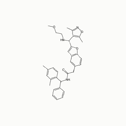 COCCNC(c1cc2cc(CC(=O)NC(c3ccccc3)c3ccc(C)cc3C)ccc2o1)c1c(C)noc1C